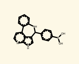 OB(O)c1ccc(C2Nc3ccccc3-c3ccnc4[nH]cc2c34)cc1